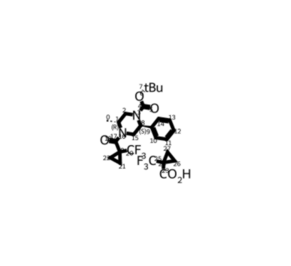 C[C@@H]1CN(C(=O)OC(C)(C)C)[C@@H](c2ccccc2)CN1C(=O)C1(C(F)(F)F)CC1.O=C(O)C1(C(F)(F)F)CC1